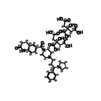 O=C(O)CC(O)(CC(=O)O)C(=O)O.O=C(O)CC(O)(CC(=O)O)C(=O)O.O=C1CCc2cc(C(=O)N3CCN(CCC(c4ccccc4)N4CCCC4)CC3)ccc2N1